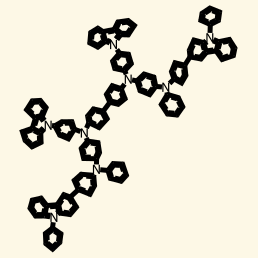 c1ccc(N(c2ccc(-c3ccc4c(c3)c3ccccc3n4-c3ccccc3)cc2)c2ccc(N(c3ccc(-c4ccc(N(c5ccc(N(c6ccccc6)c6ccc(-c7ccc8c(c7)c7ccccc7n8-c7ccccc7)cc6)cc5)c5ccc(-n6c7ccccc7c7ccccc76)cc5)cc4)cc3)c3ccc(-n4c5ccccc5c5ccccc54)cc3)cc2)cc1